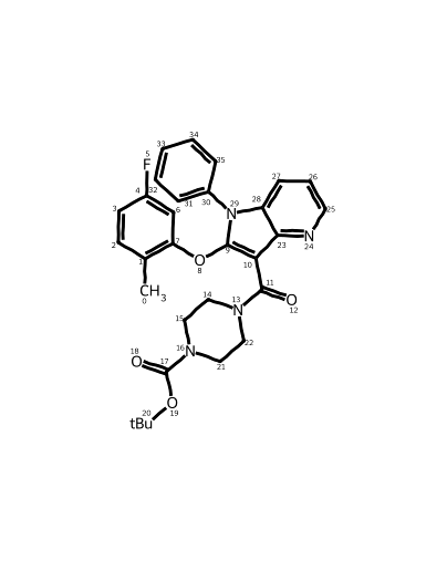 Cc1ccc(F)cc1Oc1c(C(=O)N2CCN(C(=O)OC(C)(C)C)CC2)c2ncccc2n1-c1ccccc1